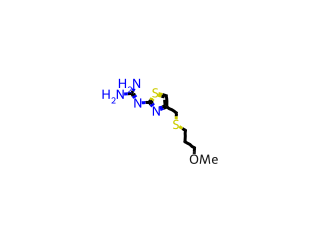 COCCCSCc1csc(N=C(N)N)n1